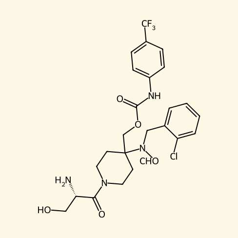 N[C@@H](CO)C(=O)N1CCC(COC(=O)Nc2ccc(C(F)(F)F)cc2)(N(C=O)Cc2ccccc2Cl)CC1